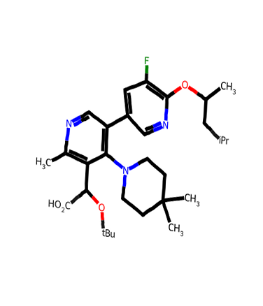 Cc1ncc(-c2cnc(OC(C)CC(C)C)c(F)c2)c(N2CCC(C)(C)CC2)c1C(OC(C)(C)C)C(=O)O